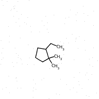 CCC1CCCC1(C)C